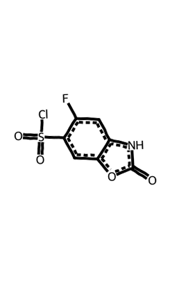 O=c1[nH]c2cc(F)c(S(=O)(=O)Cl)cc2o1